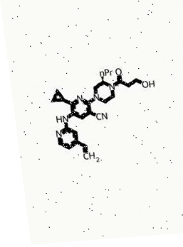 C=Cc1ccnc(Nc2cc(C#N)c(N3CCN(C(=O)CCO)[C@H](CCC)C3)nc2C2CC2)c1